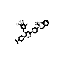 CCc1cc(C[C@@H](CC(=O)N2CCC(N3CCc4ccccc4NC3=O)CC2)C(=O)N2CCC(N(C)C)CC2)cc(Cl)c1N